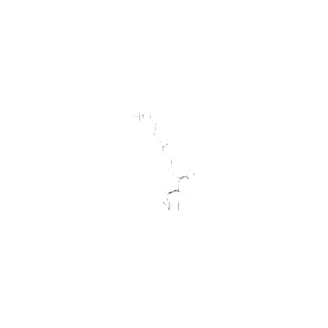 C/C(N)=C(/C)C(=O)SCCOCCO